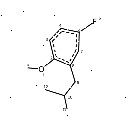 COc1ccc(F)cc1CC(C)C